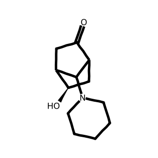 O=C1CC2C(N3CCCCC3)C1C[C@H]2O